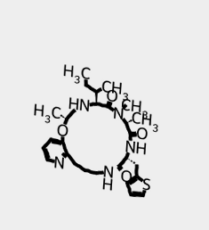 CCC(C)[C@@H]1NC[C@@H](C)Oc2cccnc2CCCNC(=O)[C@@H](Cc2cccs2)NC(=O)[C@@H](C)N(C)C1=O